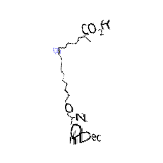 CCCCCCCCCCOCC(COCCCCCCCC/C=C\CCCCC(C)C(=O)O)N(C)C